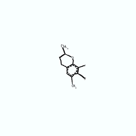 Cc1cc2c(c(I)c1I)OC(C)CC2